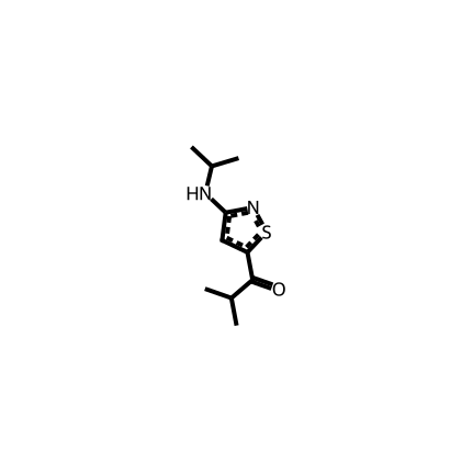 CC(C)Nc1cc(C(=O)C(C)C)sn1